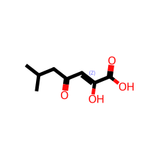 CC(C)CC(=O)/C=C(\O)C(=O)O